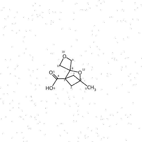 CC12CC(C(=O)O)(C1)C1(COC1)O2